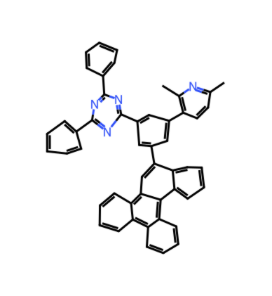 Cc1ccc(-c2cc(-c3nc(-c4ccccc4)nc(-c4ccccc4)n3)cc(-c3cc4c5ccccc5c5ccccc5c4c4ccccc34)c2)c(C)n1